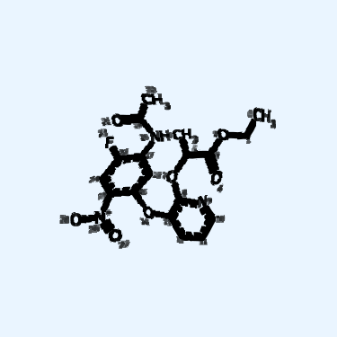 CCOC(=O)C(C)Oc1ncccc1Oc1cc(NC(C)=O)c(F)cc1[N+](=O)[O-]